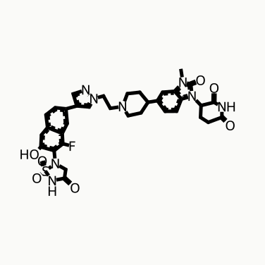 Cn1c(=O)n(C2CCC(=O)NC2=O)c2ccc(C3CCN(CCn4cc(-c5ccc6cc(O)c(N7CC(=O)NS7(=O)=O)c(F)c6c5)cn4)CC3)cc21